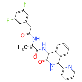 C[C@H](NC(=O)Cc1cc(F)cc(F)c1)C(=O)NC1C(=O)NC(c2ccccn2)c2ccccc21